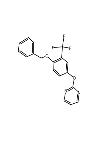 FC(F)(F)c1cc(Oc2ncccn2)ccc1OCc1ccccc1